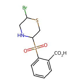 O=C(O)c1ccccc1S(=O)(=O)C1CSC(Br)CN1